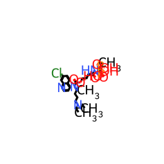 CCN(CC)CCCC(C)N(C(=O)OCCCC(=O)NC(P(C)(=O)O)P(=O)(O)O)c1ccnc2cc(Cl)ccc12